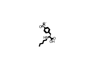 CCCCCN[C@@H](Cc1ccc([N+](=O)[O-])cc1)C(=O)O